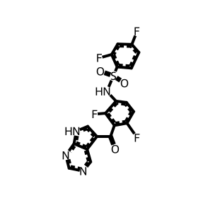 O=C(c1c(F)ccc(NS(=O)(=O)c2ccc(F)cc2F)c1F)c1c[nH]c2ncncc12